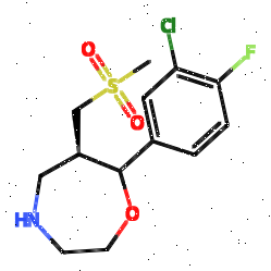 CS(=O)(=O)C[C@@H]1CNCCOC1c1ccc(F)c(Cl)c1